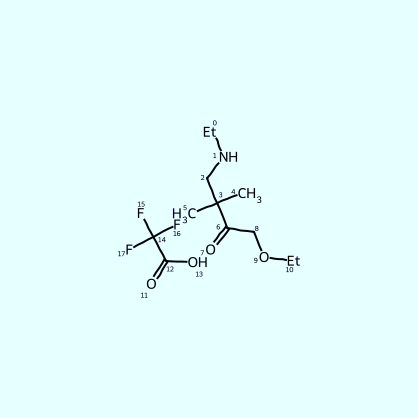 CCNCC(C)(C)C(=O)COCC.O=C(O)C(F)(F)F